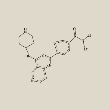 CCN(CC)C(=O)c1ccc(-c2cc(NC3CCNCC3)c3cnccc3n2)cc1